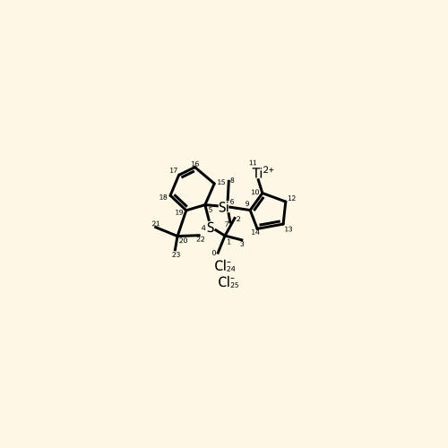 CC(C)(C)SC1([Si](C)(C)C2=[C]([Ti+2])CC=C2)CC=CC=C1C(C)(C)C.[Cl-].[Cl-]